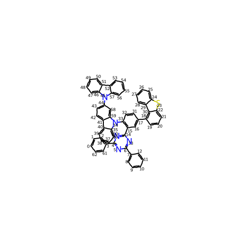 c1ccc(-c2nc(-c3ccccc3)nc(-c3cc(-c4cccc5sc6ccccc6c45)ccc3-n3c4ccccc4c4ccc(-n5c6ccccc6c6ccccc65)cc43)n2)cc1